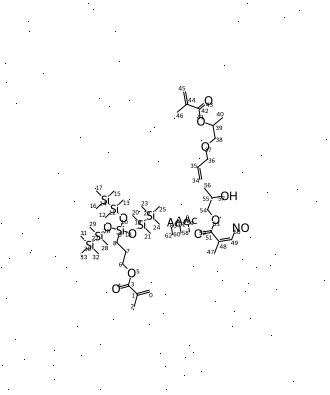 C=C(C)C(=O)OCCC[Si](O[Si](C)(C)[Si](C)(C)C)(O[Si](C)(C)[Si](C)(C)C)O[Si](C)(C)[Si](C)(C)C.C=CCOCC(C)OC(=O)C(=C)C.CC(=CN=O)C(=O)OCC(C)O.CC(C)=O.CC(C)=O.CC(C)=O